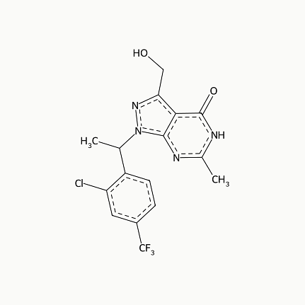 Cc1nc2c(c(CO)nn2C(C)c2ccc(C(F)(F)F)cc2Cl)c(=O)[nH]1